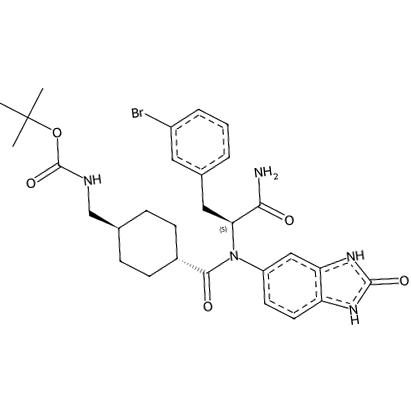 CC(C)(C)OC(=O)NC[C@H]1CC[C@H](C(=O)N(c2ccc3[nH]c(=O)[nH]c3c2)[C@@H](Cc2cccc(Br)c2)C(N)=O)CC1